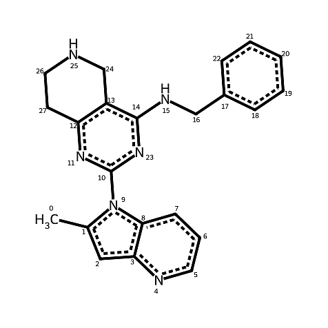 Cc1cc2ncccc2n1-c1nc2c(c(NCc3ccccc3)n1)CNCC2